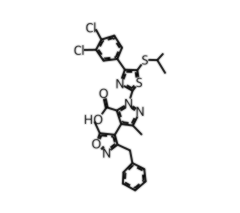 Cc1nn(-c2nc(-c3ccc(Cl)c(Cl)c3)c(SC(C)C)s2)c(C(=O)O)c1-c1c(Cc2ccccc2)noc1C